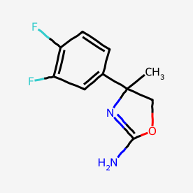 CC1(c2ccc(F)c(F)c2)COC(N)=N1